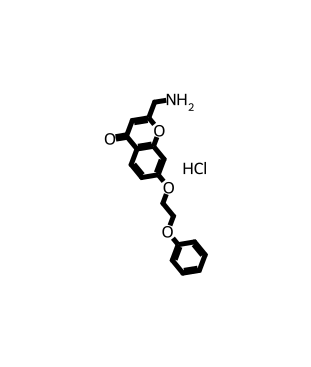 Cl.NCc1cc(=O)c2ccc(OCCOc3ccccc3)cc2o1